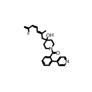 C=C(F)/C=C\C=C(/C)CC1(O)CCN(C(=O)c2ccccc2-c2ccncc2)CC1